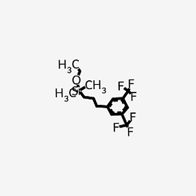 CCO[Si](C)(C)CCCc1cc(C(F)(F)F)cc(C(F)(F)F)c1